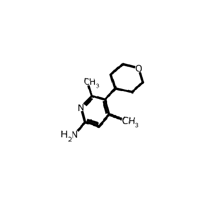 Cc1cc(N)nc(C)c1C1CCOCC1